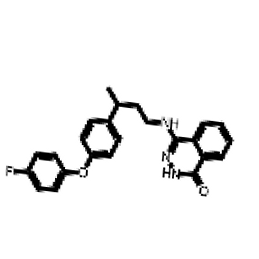 CC(CCNc1n[nH]c(=O)c2ccccc12)c1ccc(Oc2ccc(F)cc2)cc1